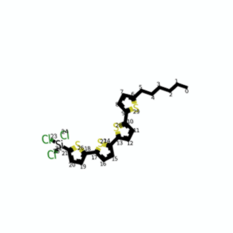 CCCCCCc1ccc(-c2ccc(-c3ccc(-c4ccc([Si](Cl)(Cl)Cl)s4)s3)s2)s1